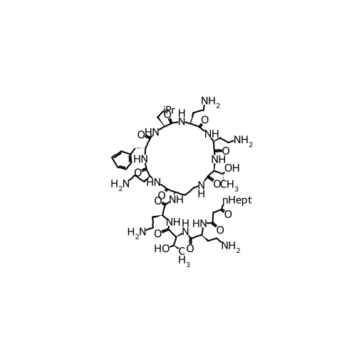 CCCCCCCC(=O)CC(=O)N[C@@H](CCN)C(=O)N[C@H](C(=O)N[C@@H](CCN)C(=O)N[C@H]1CCNC(=O)[C@H]([C@@H](C)O)NC(=O)[C@H](CCN)NC(=O)[C@H](CCN)NC(=O)[C@H](CC(C)C)NC(=O)[C@@H](Cc2ccccc2)NC(=O)[C@H](CCN)NC1=O)[C@@H](C)O